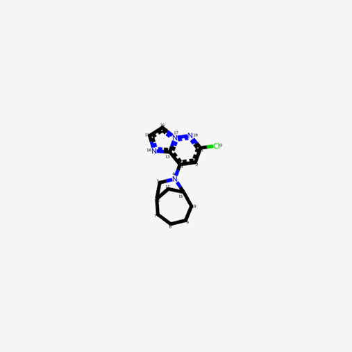 Clc1cc(N2CC3CCCCC2C3)c2nccn2n1